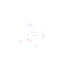 CC(C)(CC#N)c1c([C@@H]2CO[C@@](C)(C(=O)O)C2)c2nc3[nH]ncc3cc2n1-c1ccc(F)c(F)c1